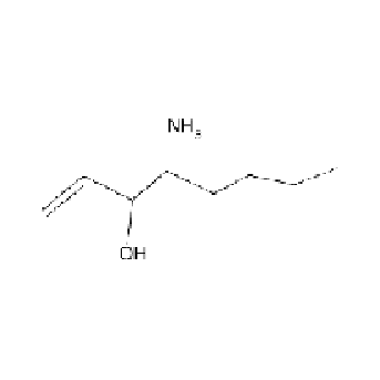 C=CC(O)CCCCC.N